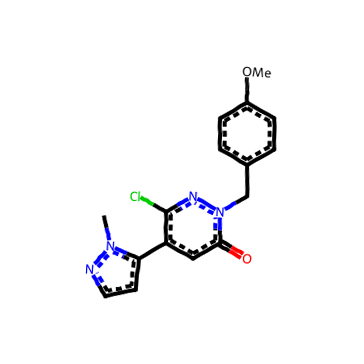 COc1ccc(Cn2nc(Cl)c(-c3ccnn3C)cc2=O)cc1